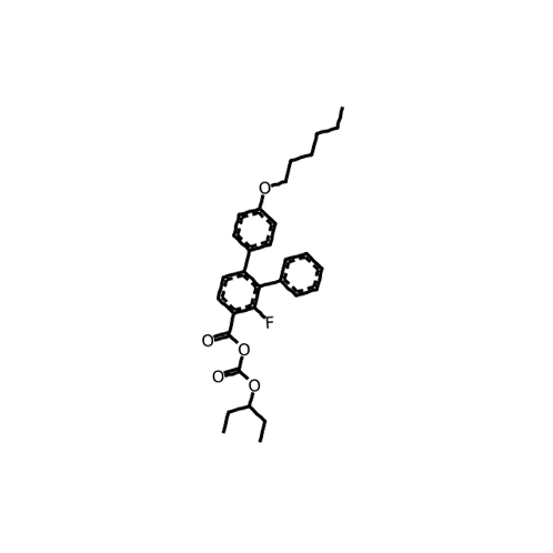 CCCCCCOc1ccc(-c2ccc(C(=O)OC(=O)OC(CC)CC)c(F)c2-c2ccccc2)cc1